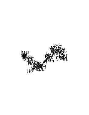 CCn1cnnc1-c1cccc(N2Cc3c(cc(N(C)C(C)C)nc3CNCC(=O)NCCCCC(=O)N[C@H](C(=O)N3C[C@H](O)C[C@H]3C(=O)NCc3ccc(-c4scnc4C)cc3)C(C)(C)C)C2=O)n1